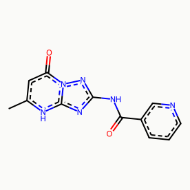 Cc1cc(=O)n2nc(NC(=O)c3cccnc3)nc2[nH]1